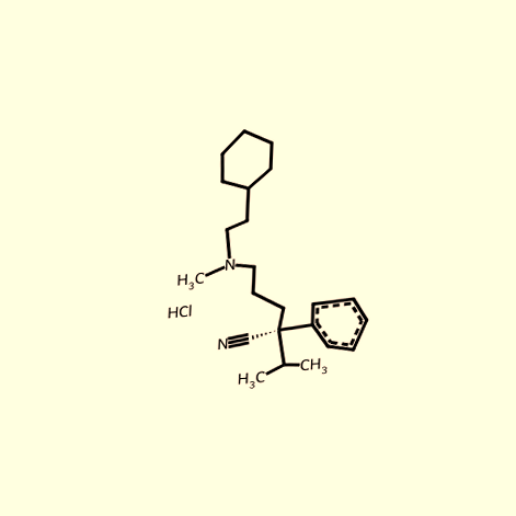 CC(C)[C@@](C#N)(CCCN(C)CCC1CCCCC1)c1ccccc1.Cl